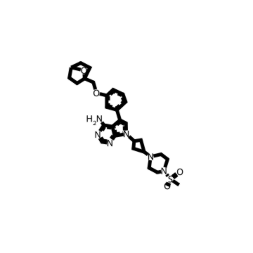 CS(=O)(=O)N1CCN(C2CC(n3cc(-c4cccc(OCC56CCC(CC5)O6)c4)c4c(N)ncnc43)C2)CC1